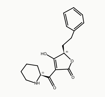 O=C1O[C@H](CCc2ccccc2)C(O)=C1C(=O)[C@@H]1CCCCN1